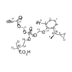 CC(C)c1cccc([C@H](C)C2CC2)c1OCOP(=O)(OCCC(C)(C)C(=O)O)OCOC(=O)C(C)(C)C